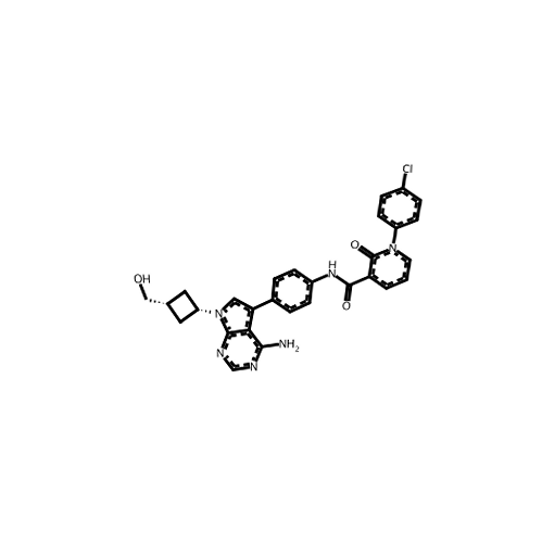 Nc1ncnc2c1c(-c1ccc(NC(=O)c3cccn(-c4ccc(Cl)cc4)c3=O)cc1)cn2[C@H]1C[C@@H](CO)C1